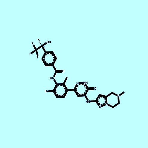 Cc1c(-c2cc(Nc3cc4n(n3)CCN(C)C4)c(=O)[nH]n2)ccc(F)c1NC(=O)c1ccc([C@](C)(O)C(F)(F)F)cc1